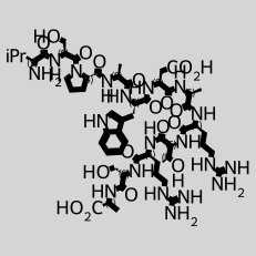 CC(C)[C@H](N)C(=O)N[C@@H](CO)C(=O)N1CCC[C@H]1C(=O)N[C@@H](C)C(=O)N[C@@H](Cc1c[nH]c2ccccc12)C(=O)N[C@@H](CC(=O)O)C(=O)N[C@@H](C)C(=O)N[C@@H](CCCNC(=N)N)C(=O)N[C@H](C(=O)N[C@@H](CCCNC(=N)N)C(=O)N[C@@H](CO)C(=O)N[C@@H](C)C(=O)O)[C@@H](C)O